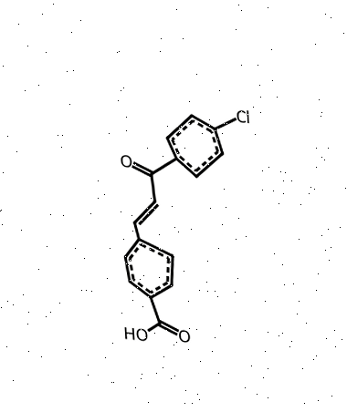 O=C(O)c1ccc(C=CC(=O)c2ccc(Cl)cc2)cc1